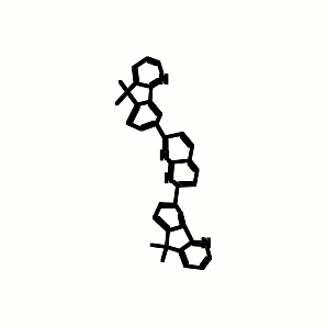 CC1(C)c2ccc(-c3ccc4ccc(-c5ccc6c(c5)-c5ncccc5C6(C)C)nc4n3)cc2-c2ncccc21